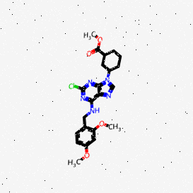 COC(=O)C1CCCC(n2cnc3c(NCc4ccc(OC)cc4OC)nc(Cl)nc32)C1